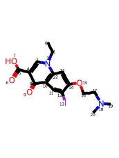 CCn1cc(C(=O)O)c(=O)c2cc(I)c(OCCN(C)C)cc21